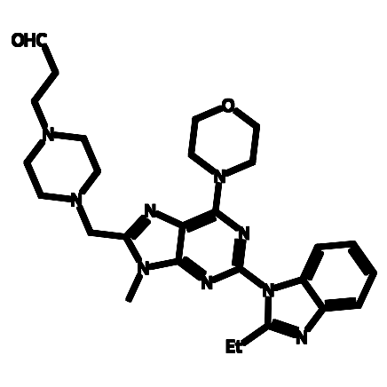 CCc1nc2ccccc2n1-c1nc(N2CCOCC2)c2nc(CN3CCN(CCC=O)CC3)n(C)c2n1